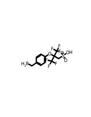 BCc1ccc(OC(CS(=O)(=O)O)(C(F)(F)F)C(F)(F)F)cc1